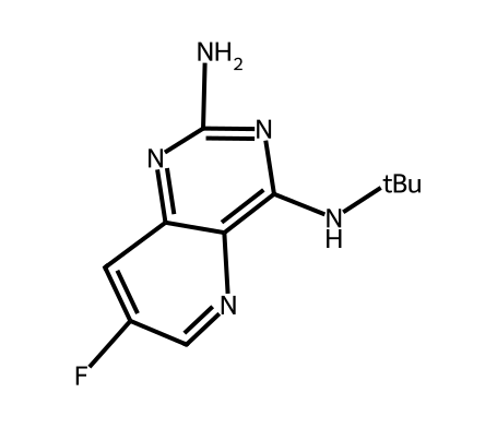 CC(C)(C)Nc1nc(N)nc2cc(F)cnc12